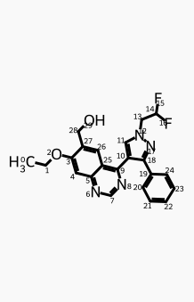 CCOc1cc2ncnc(-c3cn(CC(F)F)nc3-c3ccccc3)c2cc1CO